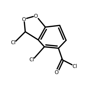 O=C(Cl)c1ccc2c(c1Cl)C(Cl)OO2